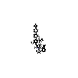 C#Cc1cccc([C@H]2CCON2/C(=C/C(=N)Nc2cc(NC(=O)C=C)c(N3CCC(N4CCN(C5CCC5)CC4)CC3)cc2OC)NN)c1